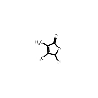 CC1=C(C)C(O)OC1=O